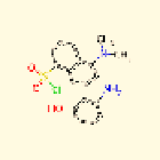 CN(C)c1cccc2c(S(=O)(=O)Cl)cccc12.Nc1cccc(O)c1